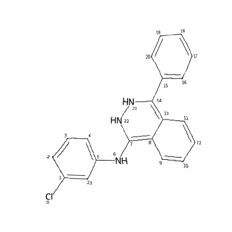 Clc1cccc(NC2=c3ccccc3=C(c3ccccc3)NN2)c1